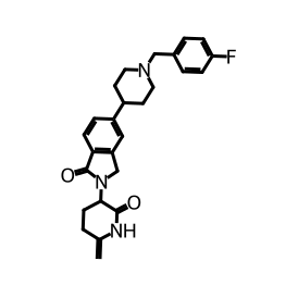 C=C1CCC(N2Cc3cc(C4CCN(Cc5ccc(F)cc5)CC4)ccc3C2=O)C(=O)N1